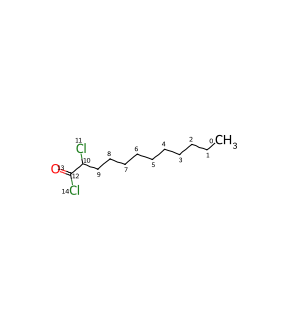 CCCCCCCCCCC(Cl)C(=O)Cl